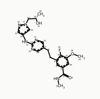 CNC(=O)c1cc(CCc2cnc(Nc3cnn(C[C@H](C)O)c3)nc2)c(F)c(OC)c1